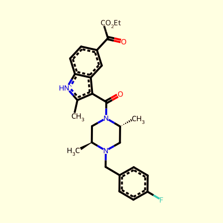 CCOC(=O)C(=O)c1ccc2[nH]c(C)c(C(=O)N3C[C@H](C)N(Cc4ccc(F)cc4)C[C@H]3C)c2c1